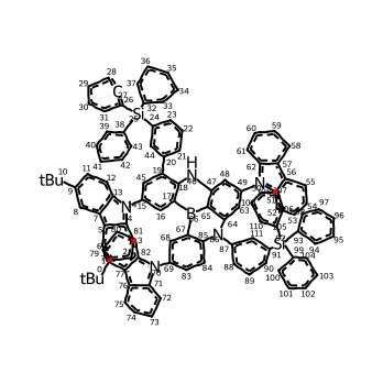 CC(C)(C)c1ccc2c(c1)c1cc(C(C)(C)C)ccc1n2-c1cc2c(c(-c3cccc([Si](c4ccccc4)(c4ccccc4)c4ccccc4)c3)c1)Nc1cc(-n3c4ccccc4c4ccccc43)cc3c1B2c1cc(-n2c4ccccc4c4ccccc42)ccc1N3c1cccc([Si](c2ccccc2)(c2ccccc2)c2ccccc2)c1